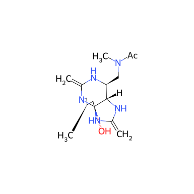 C=C1N[C@H]2[C@H](CN(C)C(C)=O)NC(=C)N3C[C@H](C)[C@H](O)[C@]23N1